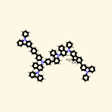 CC1(C)c2cc(-c3ccc4c(c3)c3ccccc3n4-c3ccccc3)ccc2-c2ccc(N(c3ccccc3)c3ccc(-n4c5ccccc5c5c(-c6ccc(N(c7ccc(-c8ccc(-c9ccc%10c(c9)c9ccccc9n%10-c9ccccc9)cc8)cc7)c7ccc(-n8c9ccccc9c9ccccc98)c8ccccc78)cc6)cccc54)c4ccccc34)cc21